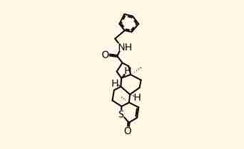 C[C@]12CC[C@@H]3[C@@H](CCC4SC(=O)C=C[C@@]43C)[C@@H]1CC(C(=O)NCc1ccccc1)C2